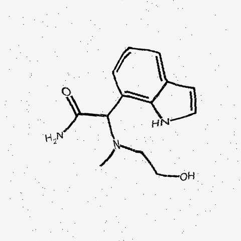 CN(CCO)C(C(N)=O)c1cccc2cc[nH]c12